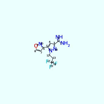 N=C(N)c1cc(-c2ccon2)n(CCC(F)(F)F)n1